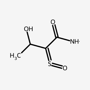 CC(O)C(=S=O)C([NH])=O